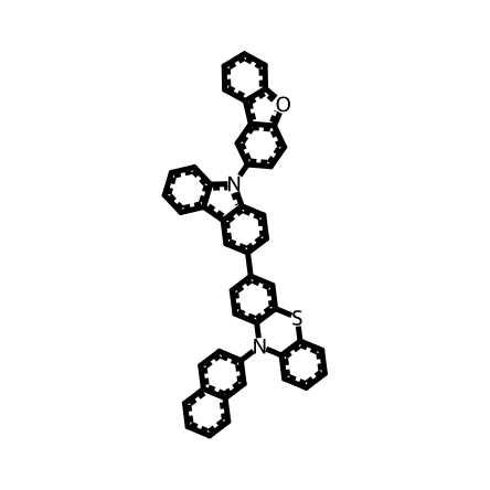 c1ccc2c(c1)Sc1cc(-c3ccc4c(c3)c3ccccc3n4-c3ccc4oc5ccccc5c4c3)ccc1N2c1ccc2ccccc2c1